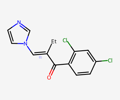 CC/C(=C\n1ccnc1)C(=O)c1ccc(Cl)cc1Cl